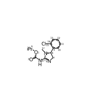 CC(C)OC(=O)NC1=NCC(c2ccccc2Cl)N1C